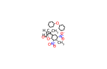 CC(=O)Oc1c(C(C)(C)C)cc([N+](=O)[O-])c(C)c1[N+](=O)[O-].c1ccc(Oc2ccccc2)cc1